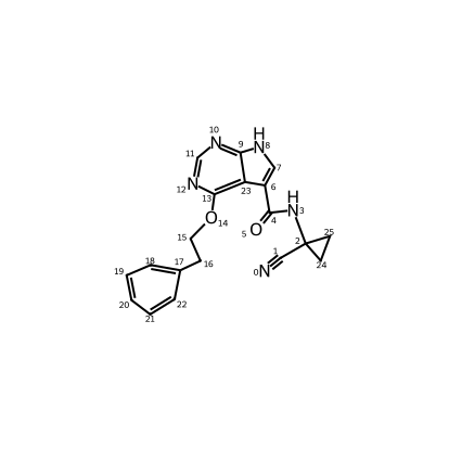 N#CC1(NC(=O)c2c[nH]c3ncnc(OCCc4ccccc4)c23)CC1